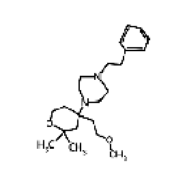 COCCC1(N2CCN(CCc3ccccc3)CC2)CCOC(C)(C)C1